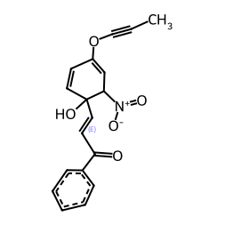 CC#COC1=CC([N+](=O)[O-])C(O)(/C=C/C(=O)c2ccccc2)C=C1